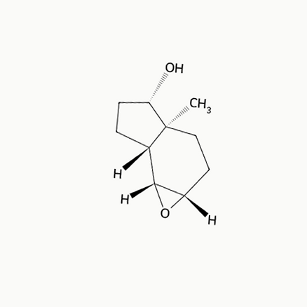 C[C@]12CC[C@@H]3O[C@@H]3[C@@H]1CC[C@@H]2O